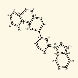 c1cc(-c2ccc3ccc4cccnc4c3n2)cc(-n2cnc3ccccc32)c1